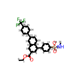 CCOC(=O)c1cc(-c2ccc(S(=O)(=O)NC)cc2)c2ccc(-c3ccc(C(F)(F)F)cc3)cc2c1